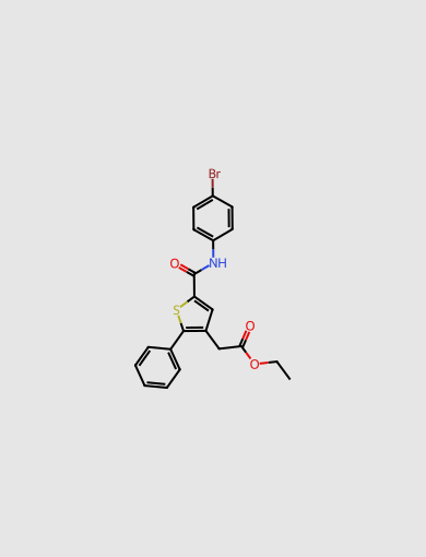 CCOC(=O)Cc1cc(C(=O)Nc2ccc(Br)cc2)sc1-c1ccccc1